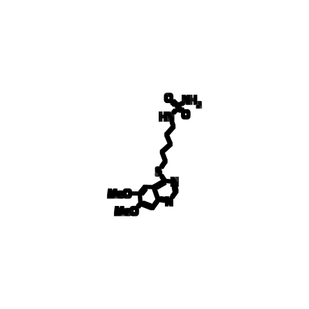 COc1cc2ncnc(SCCCCCNS(N)(=O)=O)c2cc1OC